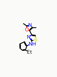 CCc1ccccc1Nc1nc(-c2oc(C)nc2C)cs1